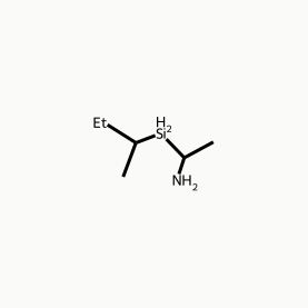 CCC(C)[SiH2]C(C)N